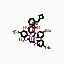 CC1CC(C)[PH](c2ccc(C(C)(C)C)cc2)(c2ccc(C(C)(C)C)cc2)C(COC(=O)c2c(O)cccc2C=C2CCC2)[PH]1(c1ccc(C(C)(C)C)cc1)c1ccc(C(C)(C)C)cc1